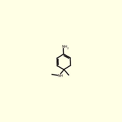 CNC1(C)C=CC(N)=CC1